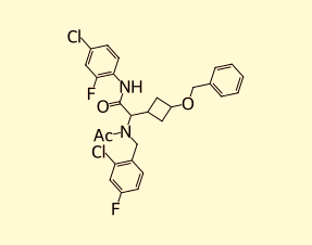 CC(=O)N(Cc1ccc(F)cc1Cl)C(C(=O)Nc1ccc(Cl)cc1F)C1CC(OCc2ccccc2)C1